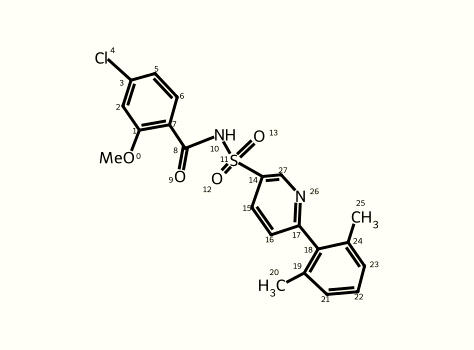 COc1cc(Cl)ccc1C(=O)NS(=O)(=O)c1ccc(-c2c(C)cccc2C)nc1